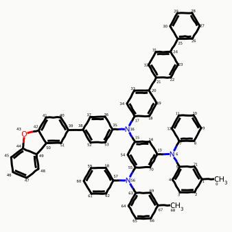 Cc1cccc(N(c2ccccc2)c2cc(N(c3ccc(-c4ccc(-c5ccccc5)cc4)cc3)c3ccc(-c4ccc5oc6ccccc6c5c4)cc3)cc(N(c3ccccc3)c3cccc(C)c3)c2)c1